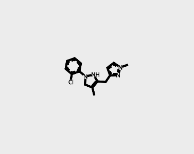 CC1=C(Cc2ccn(C)n2)NN(c2ccccc2Cl)C1